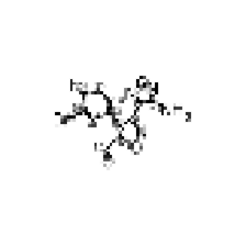 Nc1nonc1C1=NOC(C=O)N1c1ccc(F)c(Br)c1